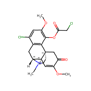 COC1=C[C@H]2[C@H]3Cc4c(Cl)cc(OC)c(OC(=O)CCl)c4[C@@]2(CCN3C)CC1=O